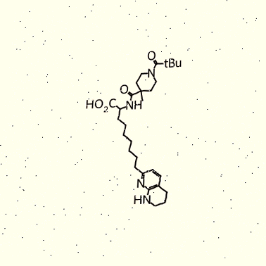 CC(C)(C)C(=O)N1CCC(C)(C(=O)NC(CCCCCCCc2ccc3c(n2)NCCC3)C(=O)O)CC1